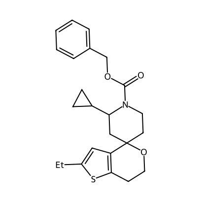 CCc1cc2c(s1)CCOC21CCN(C(=O)OCc2ccccc2)C(C2CC2)C1